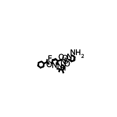 CC(Oc1nc(N2CCC(C)C2(C)C)c(C(=O)NS(=O)(=O)c2cccc(N)n2)cc1F)C1CCCCC1